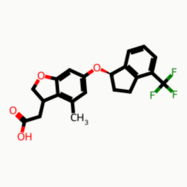 Cc1cc(O[C@@H]2CCc3c2cccc3C(F)(F)F)cc2c1C(CC(=O)O)CO2